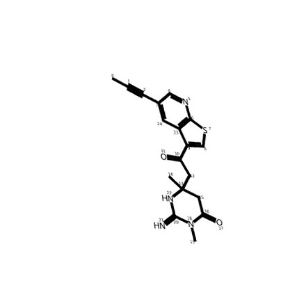 CC#Cc1cnc2scc(C(=O)CC3(C)CC(=O)N(C)C(=N)N3)c2c1